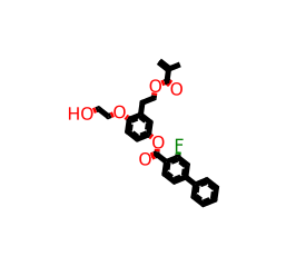 C=C(C)C(=O)OCCc1cc(OC(=O)c2ccc(-c3ccccc3)cc2F)ccc1OCCO